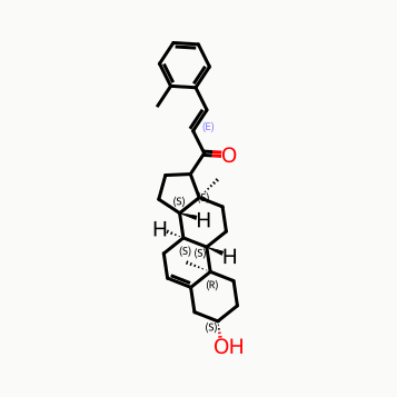 Cc1ccccc1/C=C/C(=O)C1CC[C@H]2[C@@H]3CC=C4C[C@@H](O)CC[C@]4(C)[C@H]3CC[C@]12C